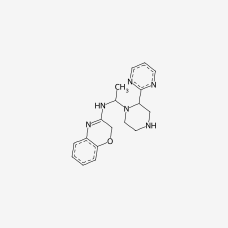 CC(NC1=Nc2ccccc2OC1)N1CCNCC1c1ncccn1